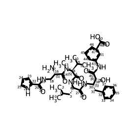 CC(C)C[C@H](NC(=O)[C@H](C(C)C)N(C)C(=O)[C@@H](N)CNC(=O)c1ccc[nH]1)C(=O)N[C@@H](Cc1ccccc1)[C@@H](O)C(=O)Nc1cccc(C(=O)O)c1